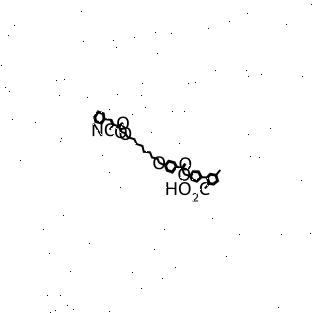 Cc1ccc(C(=O)O)c(-c2ccc(OC(=O)c3ccc(OCCCCCCCCOOC(=O)/C(C#N)=C/c4ccccc4)cc3)cc2)c1